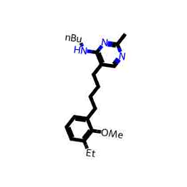 CCCCNc1nc(C)ncc1CCCCc1cccc(CC)c1OC